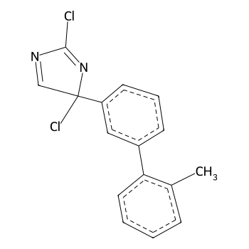 Cc1ccccc1-c1cccc(C2(Cl)C=NC(Cl)=N2)c1